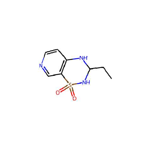 CCC1Nc2ccncc2S(=O)(=O)N1